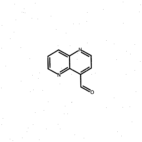 O=Cc1ccnc2cccnc12